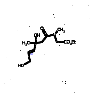 CCOC(=O)CN(C)C(=O)CC(C)(O)/C=C/CO